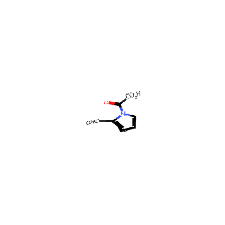 O=Cc1cccn1C(=O)C(=O)O